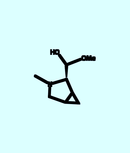 COC(O)[C@@H]1C2CC2CN1C